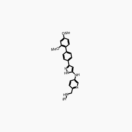 COc1ccc(-c2ccc(-c3cc(Nc4ccc(CNC(C)C)nc4)[nH]n3)cc2)c(OC)c1